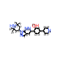 CC1(C)CC(n2ncc3cc(-c4ccc(-c5ccncc5)cc4O)nnc32)CC(C)(C)N1